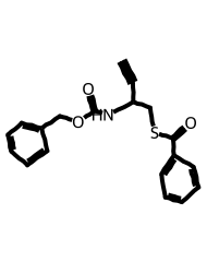 C#CC(CSC(=O)c1ccccc1)NC(=O)OCc1ccccc1